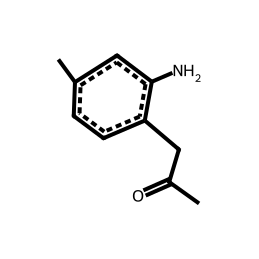 CC(=O)Cc1ccc(C)cc1N